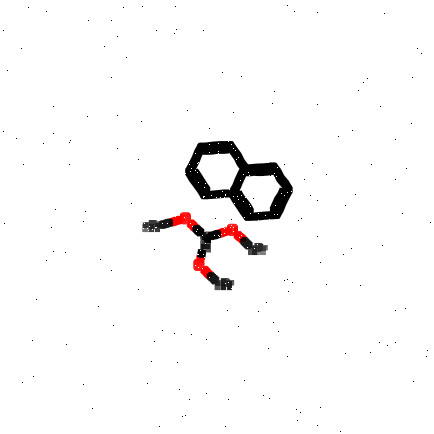 CCCO[SiH](OCCC)OCCC.c1ccc2ccccc2c1